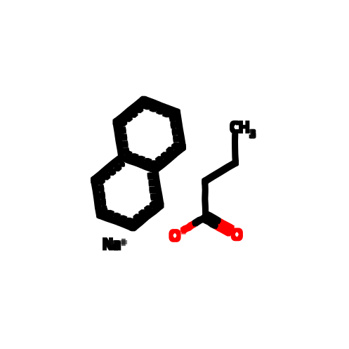 CCCC(=O)[O-].[Na+].c1ccc2ccccc2c1